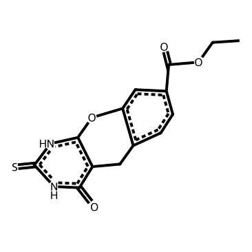 CCOC(=O)c1ccc2c(c1)Oc1[nH]c(=S)[nH]c(=O)c1C2